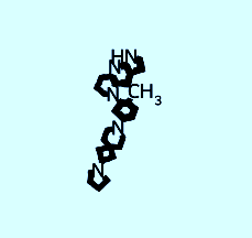 Cc1ccc(N2CCC3(CC2)CC(N2CCCC2)C3)cc1N1CCCc2nc3[nH]ccc3cc21